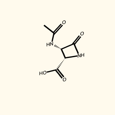 CC(=O)N[C@@H]1C(=O)N[C@@H]1C(=O)O